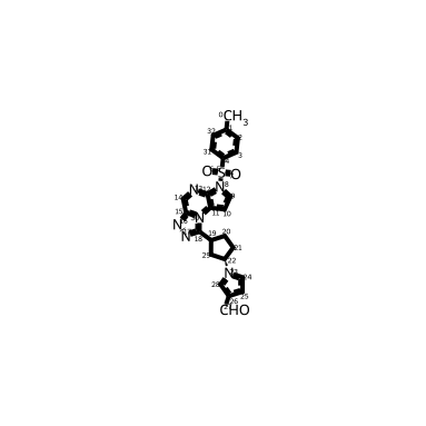 Cc1ccc(S(=O)(=O)n2ccc3c2ncc2nnc(C4CC[C@H](n5ccc(C=O)c5)C4)n23)cc1